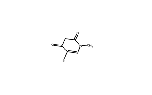 CN1C=C(Br)C(=O)CC1=O